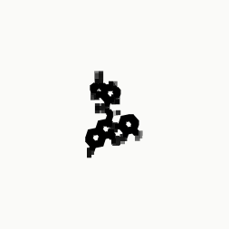 C[C@@H](Nc1ncnc2[nH]cnc12)c1cc2ccc(F)cc2c(=O)n1-c1cccc(F)c1F